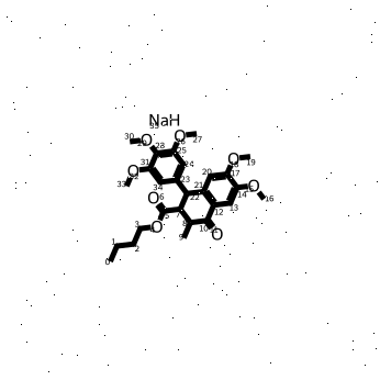 CCCCOC(=O)C1C(C)C(=O)c2cc(OC)c(OC)cc2C1c1cc(OC)c(OC)c(OC)c1.[NaH]